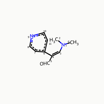 CN(C)/C=C(/C=O)c1ccncc1